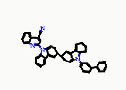 N#Cc1cc(-n2c3ccccc3c3cc(-c4ccc5c(c4)c4ccccc4n5-c4cccc(-c5ccccc5)c4)ccc32)nc2ccccc12